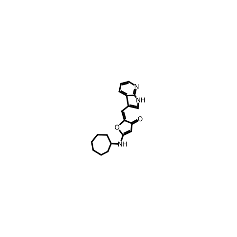 O=C1C=C(NC2CCCCCC2)O/C1=C/c1c[nH]c2ncccc12